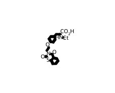 CCNC(Cc1ccc(OCCn2c(=O)sc3ccccc3c2=O)cc1)C(=O)O